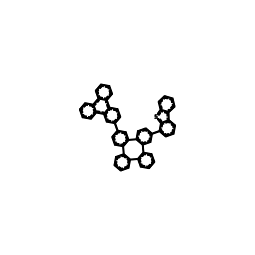 c1ccc2c(c1)-c1ccccc1-c1cc(-c3cccc4c3sc3ccccc34)ccc1-c1cc(-c3ccc4c5ccccc5c5ccccc5c4c3)ccc1-2